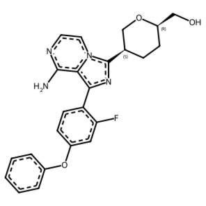 Nc1nccn2c([C@@H]3CC[C@H](CO)OC3)nc(-c3ccc(Oc4ccccc4)cc3F)c12